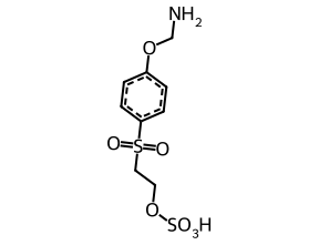 NCOc1ccc(S(=O)(=O)CCOS(=O)(=O)O)cc1